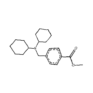 COC(=O)c1ccc(CN(C2CCCCC2)C2CCCCC2)cc1